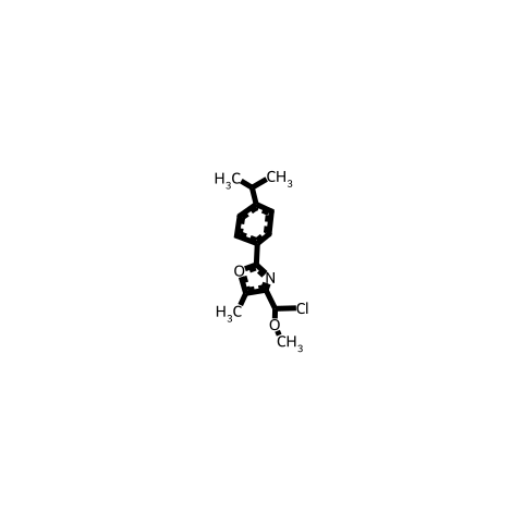 COC(Cl)c1nc(-c2ccc(C(C)C)cc2)oc1C